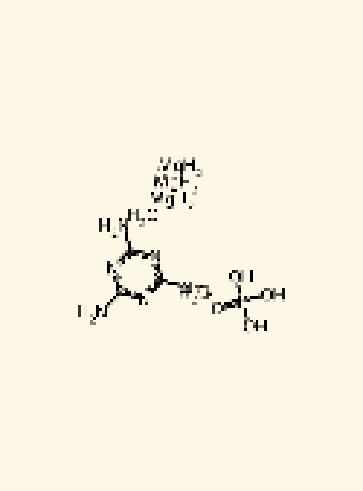 Nc1nc(N)nc(N)n1.O.O.O=P(O)(O)O.[MgH2].[MgH2].[MgH2]